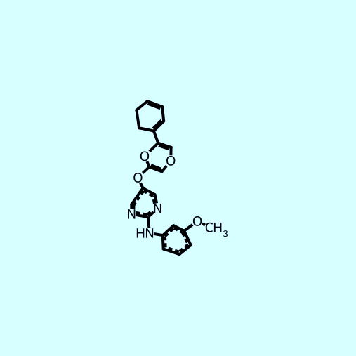 COc1cccc(Nc2ncc(OC3=COC=C(C4=CC=CCC4)O3)cn2)c1